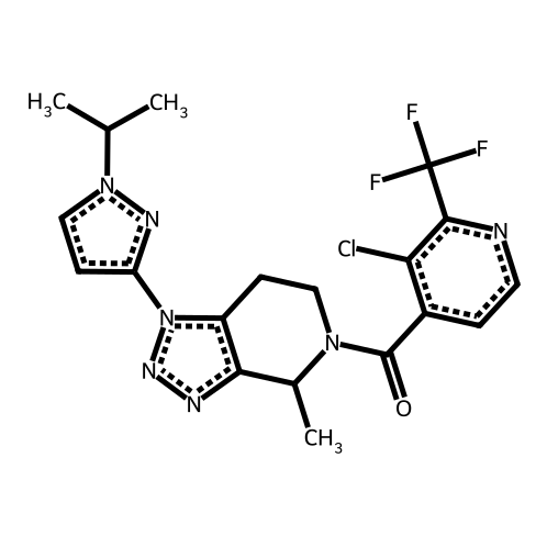 CC1c2nnn(-c3ccn(C(C)C)n3)c2CCN1C(=O)c1ccnc(C(F)(F)F)c1Cl